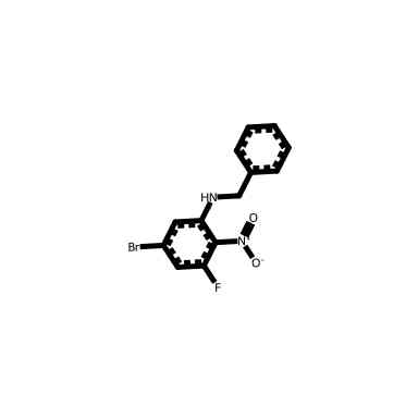 O=[N+]([O-])c1c(F)cc(Br)cc1NCc1ccccc1